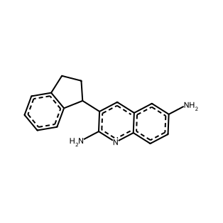 Nc1ccc2nc(N)c(C3CCc4ccccc43)cc2c1